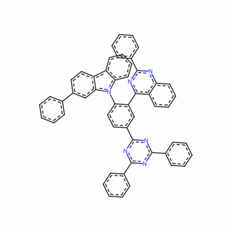 c1ccc(-c2ccc3c4ccccc4n(-c4ccc(-c5nc(-c6ccccc6)nc(-c6ccccc6)n5)cc4-c4nc(-c5ccccc5)nc5ccccc45)c3c2)cc1